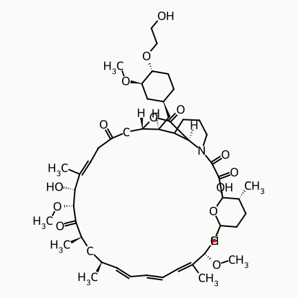 CO[C@H]1C[C@@H]2CC[C@@H](C)[C@@](O)(O2)C(=O)C(=O)N2CCCC3[C@H]2C(=O)O[C@@H](CC(=O)C/C=C(\C)[C@@H](O)[C@@H](OC)C(=O)[C@H](C)C[C@H](C)/C=C/C=C/C=C/1C)[C@H]3C[C@@H]1CC[C@@H](OCCO)[C@H](OC)C1